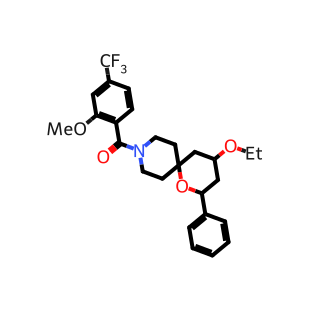 CCOC1CC(c2ccccc2)OC2(CCN(C(=O)c3ccc(C(F)(F)F)cc3OC)CC2)C1